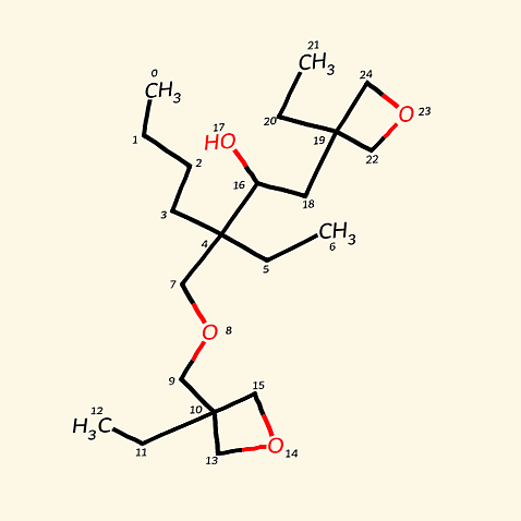 CCCCC(CC)(COCC1(CC)COC1)C(O)CC1(CC)COC1